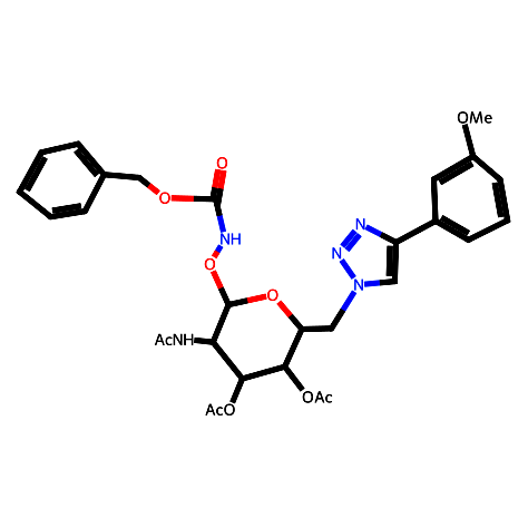 COc1cccc(-c2cn(CC3OC(ONC(=O)OCc4ccccc4)C(NC(C)=O)C(OC(C)=O)C3OC(C)=O)nn2)c1